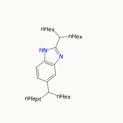 CCCCCCCC(CCCCCC)c1ccc2[nH]c(C(CCCCCC)CCCCCC)nc2c1